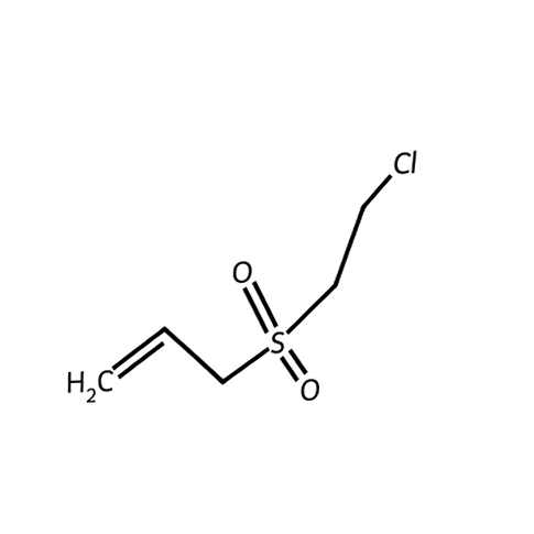 C=CCS(=O)(=O)CCCl